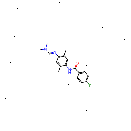 Cc1cc(NC(=O)c2ccc(F)cc2)c(C)cc1/N=C/N(C)C